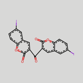 O=C(c1cc2cc(I)ccc2oc1=O)c1cc2cc(I)ccc2oc1=O